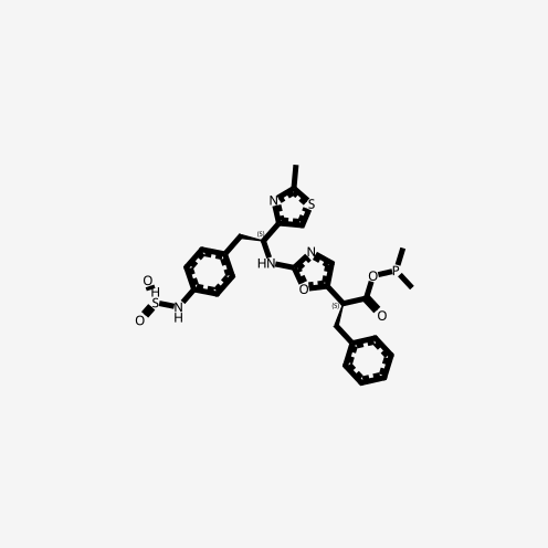 Cc1nc([C@H](Cc2ccc(N[SH](=O)=O)cc2)Nc2ncc([C@H](Cc3ccccc3)C(=O)OP(C)C)o2)cs1